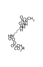 C=C(C(=O)O)C(=O)OCOC(=O)NCCCCCCNC(=O)Nc1nc(=O)cc(C)[nH]1